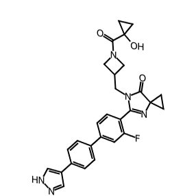 O=C(N1CC(CN2C(=O)C3(CC3)N=C2c2ccc(-c3ccc(-c4cn[nH]c4)cc3)cc2F)C1)C1(O)CC1